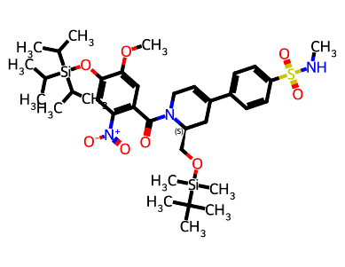 CNS(=O)(=O)c1ccc(C2=CCN(C(=O)c3cc(OC)c(O[Si](C(C)C)(C(C)C)C(C)C)cc3[N+](=O)[O-])[C@H](CO[Si](C)(C)C(C)(C)C)C2)cc1